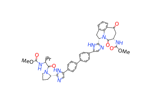 COC(=O)N[C@H]1CC(=O)c2cccc3c2N(C1=O)[C@H](c1ncc(-c2ccc(-c4ccc(-c5cnc([C@@H]6CCCN6C(=O)[C@@H](NC(=O)OC)C(C)C)[nH]5)cc4)cc2)[nH]1)C3